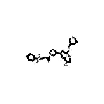 Bc1cnn2c(NCc3cccnc3)cc(C3CCCN(C(=O)CCS(=O)(=O)c4ccccc4)C3)nc12